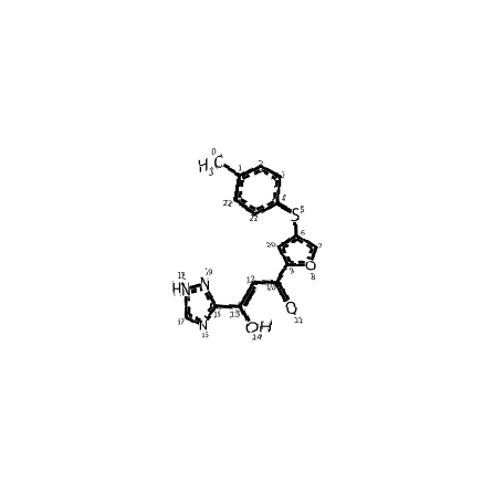 Cc1ccc(Sc2coc(C(=O)C=C(O)c3nc[nH]n3)c2)cc1